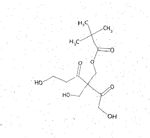 CC(C)(C)C(=O)OCC(CO)(C(=O)CO)C(=O)CCO